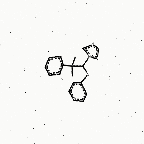 CC(C)(c1ccccc1)C(Sc1ccccc1)n1cncn1